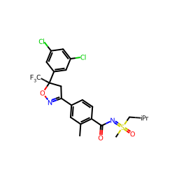 Cc1cc(C2=NOC(c3cc(Cl)cc(Cl)c3)(C(F)(F)F)C2)ccc1C(=O)N=S(C)(=O)CC(C)C